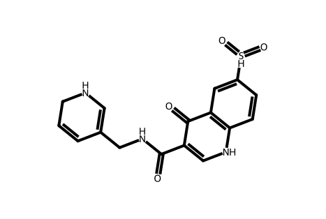 O=C(NCC1=CNCC=C1)c1c[nH]c2ccc([SH](=O)=O)cc2c1=O